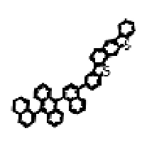 C1=CC2C=CC=C(c3c4ccccc4c(-c4ccc(-c5ccc6sc7c8cc9sc%10ccccc%10c9cc8ccc7c6c5)c5ccccc45)c4ccccc34)C2C=C1